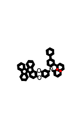 c1ccc(-c2ccc(N(c3ccccc3)c3ccc4c(c3)Oc3c(ccc5c3-c3ccccc3C53c5ccccc5-c5ccccc53)O4)c(-c3ccccc3)c2)cc1